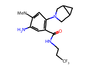 CNc1cc(N2CC3CC3C2)c(C(=O)NCCC(F)(F)F)cc1N